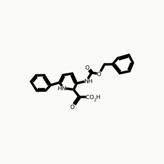 O=C(NC1=CC=C(c2ccccc2)NC1C(=O)C(=O)O)OCc1ccccc1